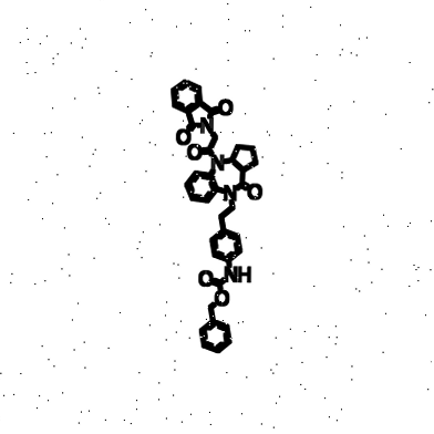 O=C(Nc1ccc(CCN2C(=O)C3CCCC3N(C(=O)CN3C(=O)c4ccccc4C3=O)c3ccccc32)cc1)OCc1ccccc1